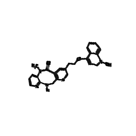 CCN1Cc2ncc(CCOC3=CCN(O)c4ccccc43)cc2C(=O)N(C)c2cccnc21